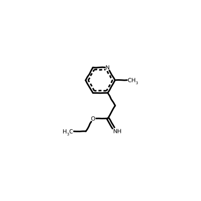 CCOC(=N)Cc1cccnc1C